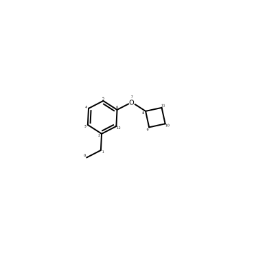 CCc1cccc(OC2CCC2)c1